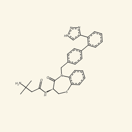 CC(C)(N)CC(=O)N[C@@H]1CSc2ccccc2N(Cc2ccc(-c3ccccc3-c3c[nH]nn3)cc2)C1=O